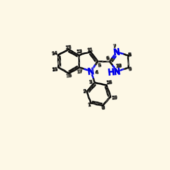 c1ccc(-n2c(C3=NCCN3)cc3ccccc32)cc1